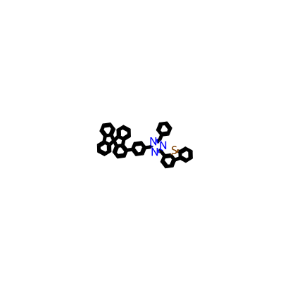 c1ccc(-c2nc(-c3ccc(-c4cccc5c4-c4ccccc4C54c5ccccc5-c5ccccc54)cc3)nc(-c3cccc4c3sc3ccccc34)n2)cc1